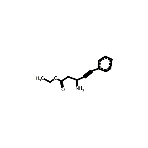 CCOC(=O)CC(N)C#Cc1ccccc1